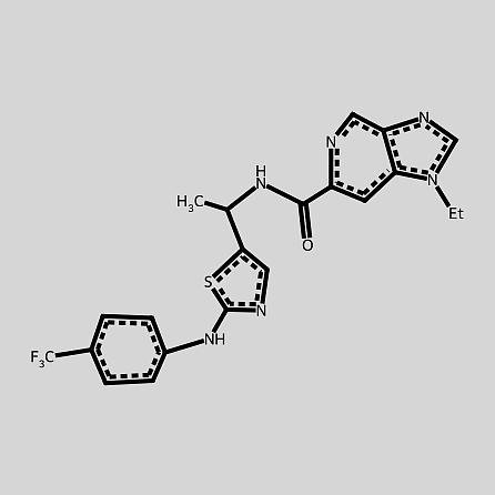 CCn1cnc2cnc(C(=O)NC(C)c3cnc(Nc4ccc(C(F)(F)F)cc4)s3)cc21